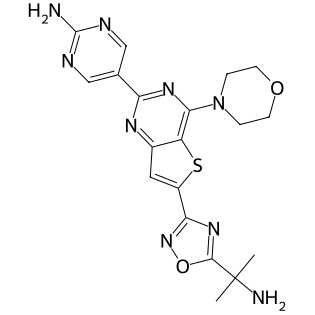 CC(C)(N)c1nc(-c2cc3nc(-c4cnc(N)nc4)nc(N4CCOCC4)c3s2)no1